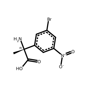 C[C@](N)(C(=O)O)c1cc(Br)cc([N+](=O)[O-])c1